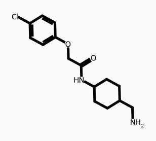 NCC1CCC(NC(=O)COc2ccc(Cl)cc2)CC1